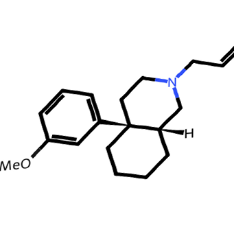 C=CCN1CC[C@@]2(c3cccc(OC)c3)CCCC[C@H]2C1